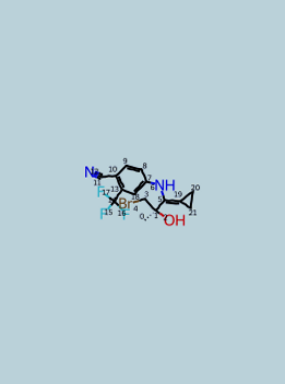 C[C@](O)(CBr)C(Nc1ccc(C#N)c(C(F)(F)F)c1)=C1CC1